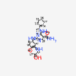 CC(Nc1nc(Nc2ccc3c(c2)NCC(O)CO3)ncc1C(N)=O)c1ccccc1